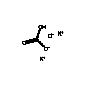 O=C([O-])O.[Cl-].[K+].[K+]